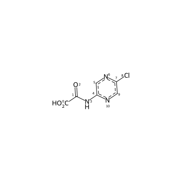 O=C(O)C(=O)Nc1cnc(Cl)cn1